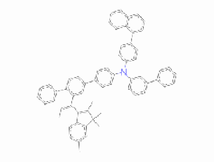 C/C=C(\C1=C(C)C(C)(C)c2cc(C)ccc21)c1cc(-c2ccc(N(c3ccc(-c4cccc5ccccc45)cc3)c3cccc(-c4ccccc4)c3)cc2)ccc1-c1ccccc1